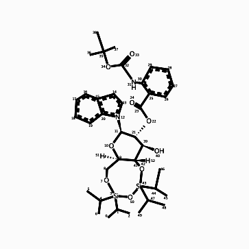 CC(C)[Si]1(C(C)C)OC[C@H]2O[C@@H](n3ccc4ccccc43)[C@H](OC(=O)c3ccccc3NC(=O)OC(C)(C)C)[C@@H](O)[C@@H]2O[Si](C(C)C)(C(C)C)O1